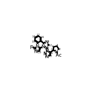 CC(=O)N1CCCC1c1cnnn1N1C=NC2c3ccccc3-n3c(cnc3F)N21